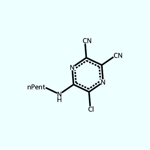 CCCCCNc1nc(C#N)c(C#N)nc1Cl